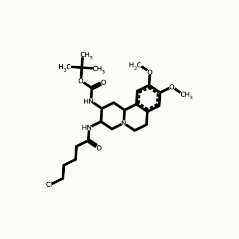 COc1cc2c(cc1OC)C1CC(NC(=O)OC(C)(C)C)C(NC(=O)CCCCCl)CN1CC2